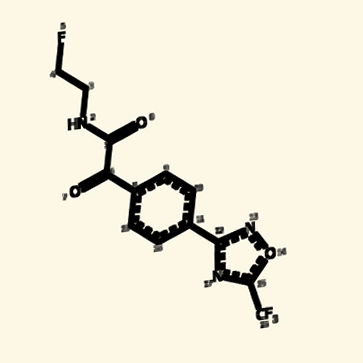 O=C(NCCF)C(=O)c1ccc(-c2noc(C(F)(F)F)n2)cc1